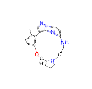 Cc1ccc2cc1-c1cnn3ccc(nc13)NCCCN1CCC[C@H]1CO2